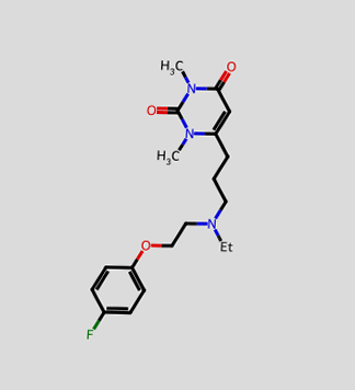 CCN(CCCc1cc(=O)n(C)c(=O)n1C)CCOc1ccc(F)cc1